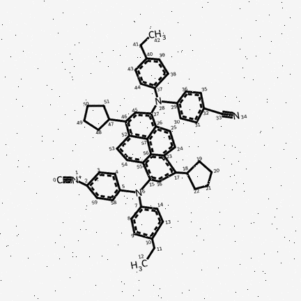 [C-]#[N+]c1ccc(N(c2ccc(CC)cc2)c2cc(C3CCCC3)c3ccc4c(N(c5ccc(C#N)cc5)c5ccc(CC)cc5)cc(C5CCCC5)c5ccc2c3c54)cc1